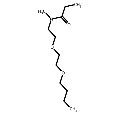 CCCCOCCOCCN(C)C(=O)CC